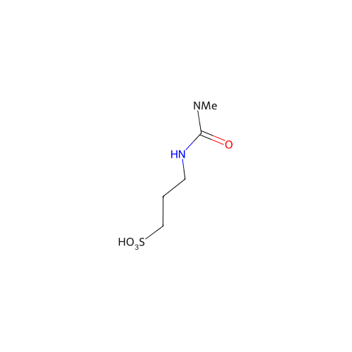 CNC(=O)NCCCS(=O)(=O)O